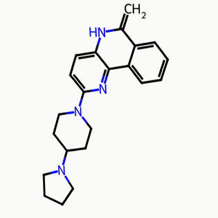 C=C1Nc2ccc(N3CCC(N4CCCC4)CC3)nc2-c2ccccc21